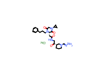 Cl.NN=CN1CCC[C@H](C(=O)CNC(=O)C[C@H]2C(=O)N(C3CC3)CC(=O)N2CCCc2ccccc2)C1